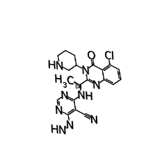 C[C@H](Nc1ncnc(N=N)c1C#N)c1nc2cccc(Cl)c2c(=O)n1C1CCCNC1